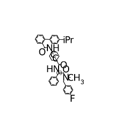 CC(C)c1ccc(-c2ccccc2C(=O)NC23CCC(C(=O)N[C@H](C(=O)N(C)Cc4ccc(F)cc4)c4ccccc4)(CC2)CC3)cc1